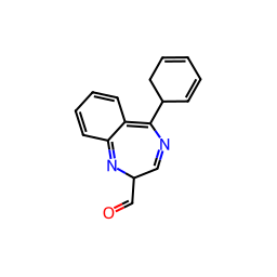 O=CC1C=NC(C2C=CC=CC2)=c2ccccc2=N1